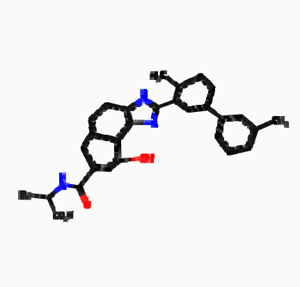 CCC(C)C(NC(=O)c1cc(O)c2c(ccc3[nH]c(-c4cc(-c5cccc(C)c5)ccc4C)nc32)c1)C(=O)O